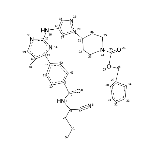 CCCC(C#N)NC(=O)c1ccc(-c2nc(Nc3cnn(C4CCN(C(=O)OCc5ccccc5)CC4)c3)ncc2C)cc1